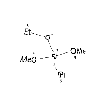 CCO[Si](OC)(OC)C(C)C